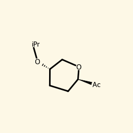 CC(=O)[C@H]1CC[C@H](OC(C)C)CO1